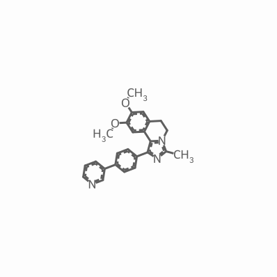 COc1cc2c(cc1OC)-c1c(-c3ccc(-c4cccnc4)cc3)nc(C)n1CC2